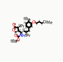 COCCCOc1cc(C[C@@H](C[C@H](NC(=O)OC(C)(C)C)[C@H]2COC(=O)[C@H]2C(C)C)C(C)C)ccc1C(C)(C)C